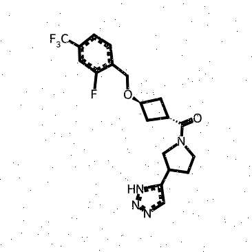 O=C([C@H]1C[C@H](OCc2ccc(C(F)(F)F)cc2F)C1)N1CCC(c2cnn[nH]2)C1